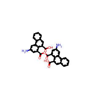 Nc1cc(C(=O)OC(=O)c2cc(N)cc3c2c(C(=O)O)cc2ccccc23)c2c(C(=O)O)cc3ccccc3c2c1